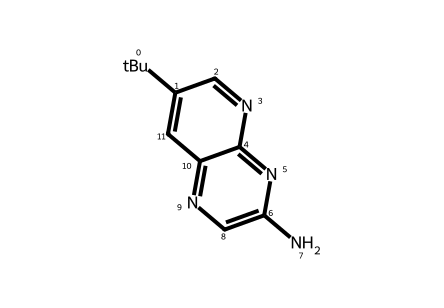 CC(C)(C)c1cnc2nc(N)cnc2c1